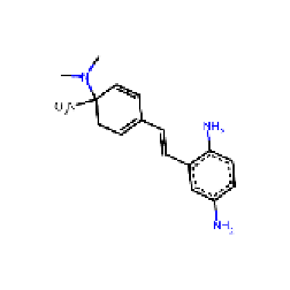 CN(C)C1([N+](=O)[O-])C=CC(C=Cc2cc(N)ccc2N)=CC1